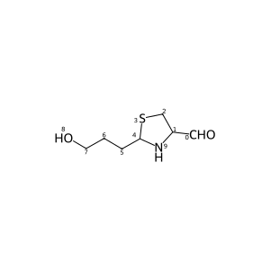 O=CC1CSC(CCCO)N1